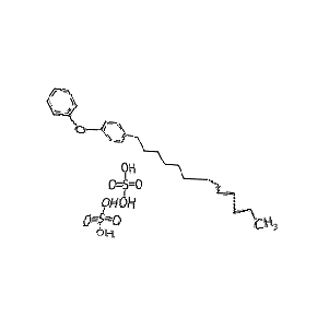 CCCCCCCCCCCCc1ccc(Oc2ccccc2)cc1.O=S(=O)(O)O.O=S(=O)(O)O